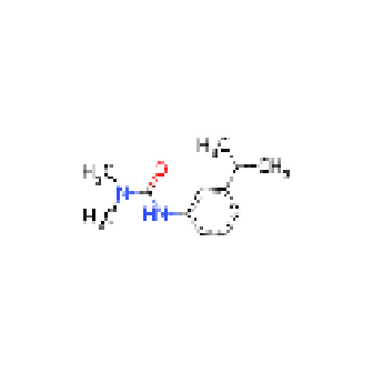 CC(C)c1cccc(NC(=O)N(C)C)c1